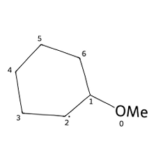 COC1[CH]CCCC1